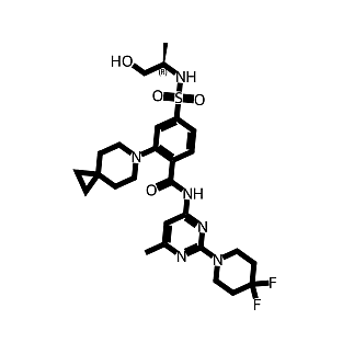 Cc1cc(NC(=O)c2ccc(S(=O)(=O)N[C@H](C)CO)cc2N2CCC3(CC2)CC3)nc(N2CCC(F)(F)CC2)n1